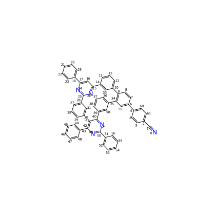 N#Cc1ccc(-c2ccc(-c3cccc(-c4cc(-c5ccccc5)nc(-c5ccccc5)n4)c3)c(-c3cccc(-c4cc(-c5ccccc5)nc(-c5ccccc5)n4)c3)c2)cc1